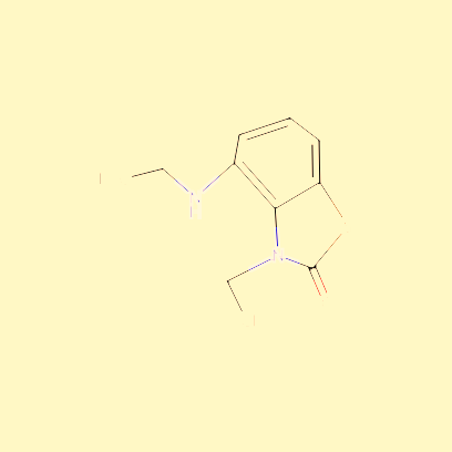 CCNc1cccc2sc(=O)n(CC)c12